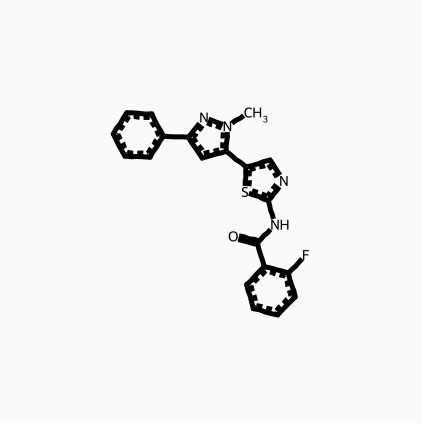 Cn1nc(-c2ccccc2)cc1-c1cnc(NC(=O)c2ccccc2F)s1